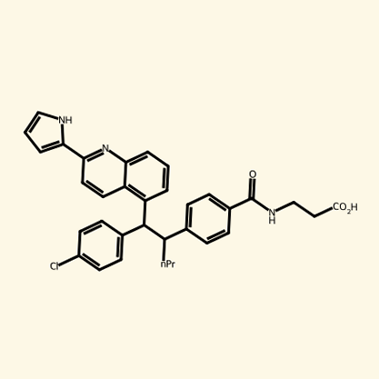 CCCC(c1ccc(C(=O)NCCC(=O)O)cc1)C(c1ccc(Cl)cc1)c1cccc2nc(-c3ccc[nH]3)ccc12